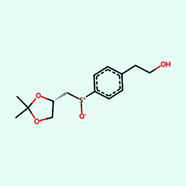 CC1(C)OC[C@@H](C[S+]([O-])c2ccc(CCO)cc2)O1